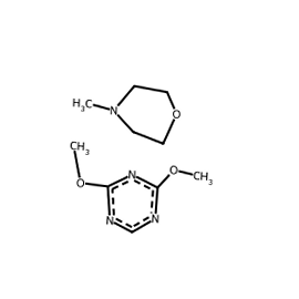 CN1CCOCC1.COc1ncnc(OC)n1